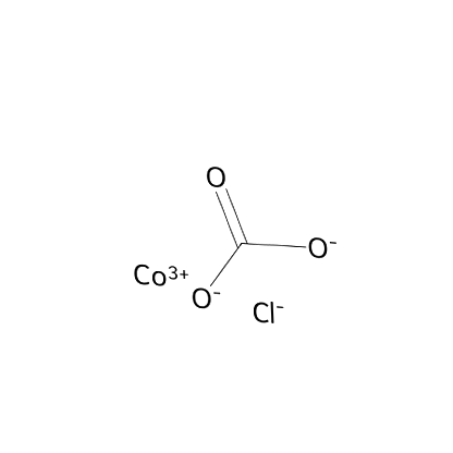 O=C([O-])[O-].[Cl-].[Co+3]